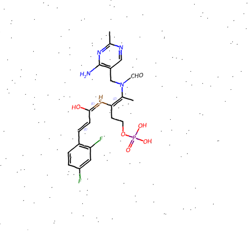 C/C(=C(CCOP(=O)(O)O)/[SH]=C(O)\C=C\c1ccc(F)cc1F)N(C=O)Cc1cnc(C)nc1N